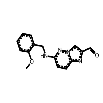 COc1ccccc1CNc1ccc2nc(C=O)cn2n1